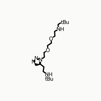 CC(C)(C)CNCCOCCOCCn1nncc1CCNC(C)(C)C